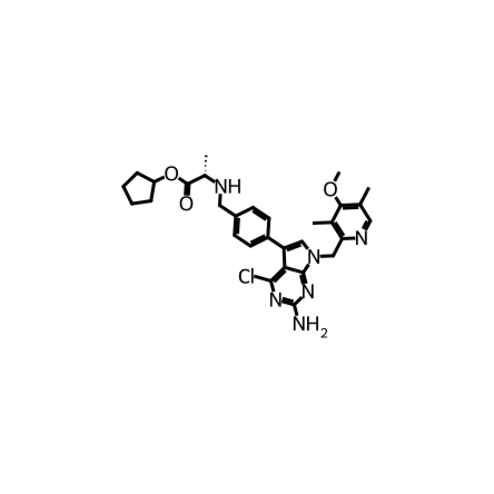 COc1c(C)cnc(Cn2cc(-c3ccc(CN[C@@H](C)C(=O)OC4CCCC4)cc3)c3c(Cl)nc(N)nc32)c1C